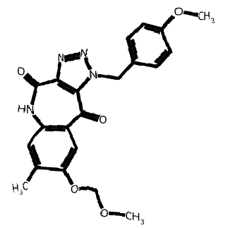 COCOc1cc2c(=O)c3c(nnn3Cc3ccc(OC)cc3)c(=O)[nH]c2cc1C